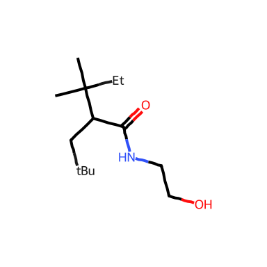 CCC(C)(C)C(CC(C)(C)C)C(=O)NCCO